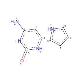 Nc1cc[nH]c(=O)n1.c1cc[nH]c1